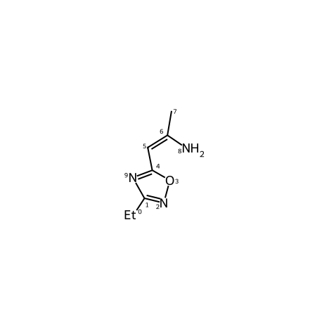 CCc1noc(C=C(C)N)n1